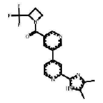 Cc1nc(-c2cc(-c3cncc(C(=O)N4CCC4C(F)(F)F)c3)ccn2)[nH]c1C